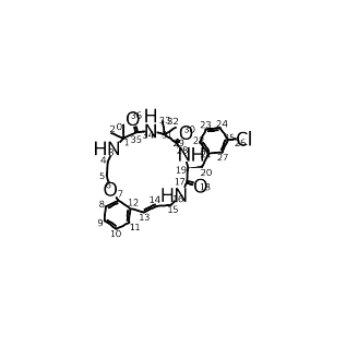 CC1(C)NCCOc2ccccc2/C=C/CNC(=O)[C@H](Cc2cccc(Cl)c2)NC(=O)C(C)(C)NC1=O